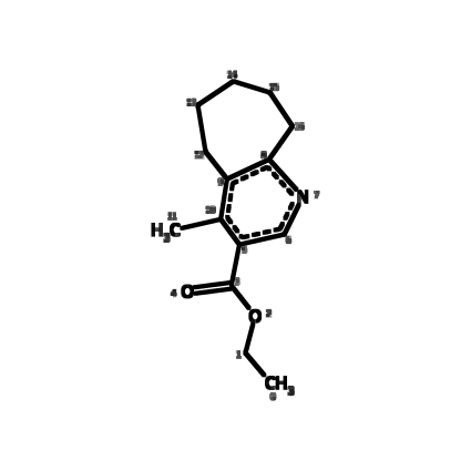 CCOC(=O)c1cnc2c(c1C)CCCCC2